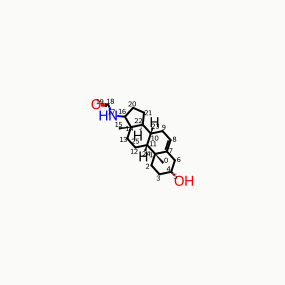 C[C@]12CCC(O)CC1=CC[C@@H]1[C@H]2CC[C@]2(C)C(NC=O)CC[C@@H]12